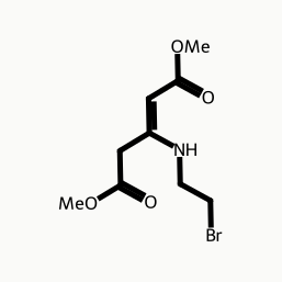 COC(=O)C=C(CC(=O)OC)NCCBr